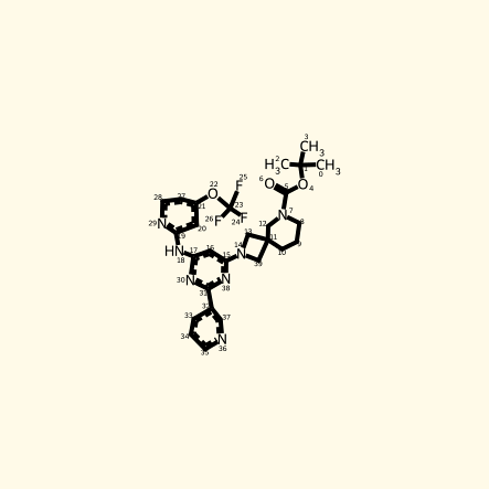 CC(C)(C)OC(=O)N1CCCC2(C1)CN(c1cc(Nc3cc(OC(F)(F)F)ccn3)nc(-c3cccnc3)n1)C2